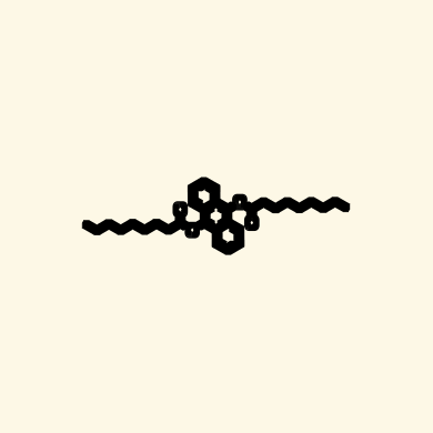 CCCCCCCCC(=O)Oc1c2ccccc2c(OC(=O)CCCCCCCC)c2ccccc12